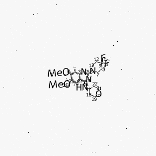 COc1cc2nc(N3CCC(F)(F)CC3)nc(NC3CCOCC3)c2cc1OC